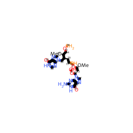 COC(C[C@@H](OO)n1cnc2c(=O)[nH]c(N)nc21)OPCC[C@@H](Cn1cnc2c(=O)[nH]cnc21)[C@@H](COP)OC